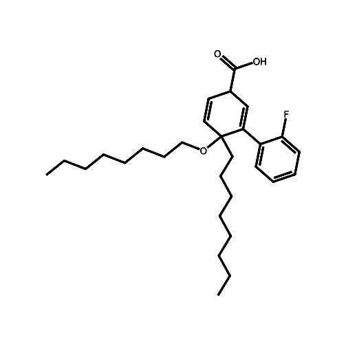 CCCCCCCCOC1(CCCCCCCC)C=CC(C(=O)O)C=C1c1ccccc1F